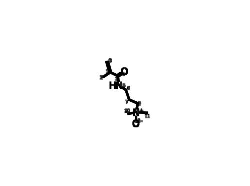 C=C(C)C(=O)NCCC[N+](C)(C)[O-]